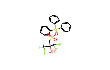 O=S(=O)(CC(O)(C(F)(F)F)C(F)(F)F)OS(c1ccccc1)(c1ccccc1)c1ccccc1